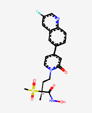 C[C@@](CCn1ccc(-c2ccc3ncc(F)cc3c2)cc1=O)(C(=O)NO)S(C)(=O)=O